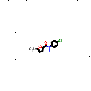 O=C(Nc1ccc(Cl)cc1)c1ccc([N+](=O)[O-])o1